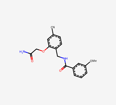 COc1cccc(C(=O)NCc2ccc(C#N)cc2OCC(N)=O)c1